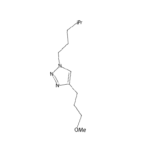 COCCCc1cn(CCCC(C)C)nn1